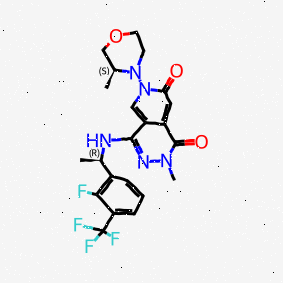 C[C@@H](Nc1nn(C)c(=O)c2cc(=O)n(N3CCOC[C@@H]3C)cc12)c1cccc(C(F)(F)F)c1F